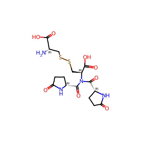 N[C@@H](CSSC[C@@H](C(=O)O)N(C(=O)[C@H]1CCC(=O)N1)C(=O)[C@H]1CCC(=O)N1)C(=O)O